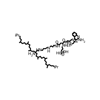 CCOCc1nc2c(N)nc3ccccc3c2n1CCCNC(=O)[C@H](CCC(=O)NCCCNCCCCNCCC(N)(CCC(C)CCCC(C)CCCC(C)CCCC(C)C)CCC(C)CCCC(C)CCCC(C)CCCC(C)C)NCCCP(=O)(O)O